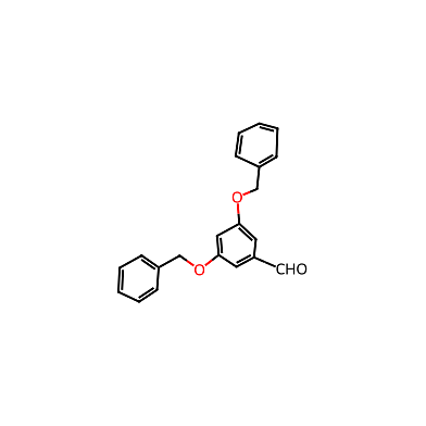 O=Cc1cc(OCc2ccccc2)cc(OCc2ccccc2)c1